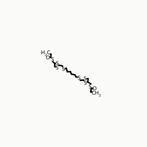 C=CC(=O)SCC1CSC(CSCCCCCCSCC2SCC(CSC(=O)C=C)S2)S1